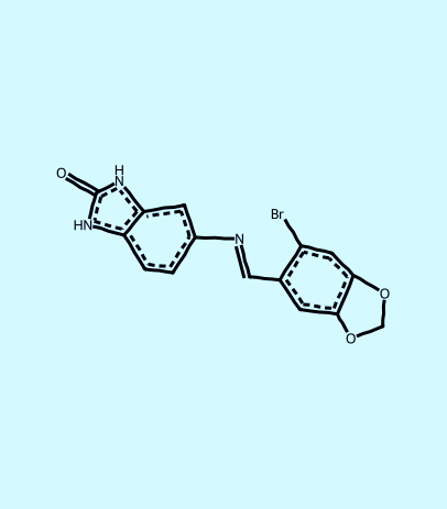 O=c1[nH]c2ccc(/N=C/c3cc4c(cc3Br)OCO4)cc2[nH]1